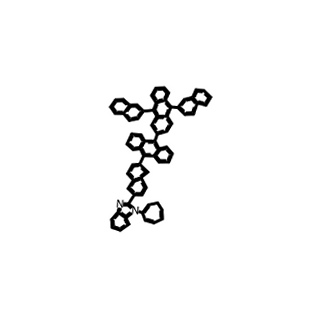 C1=CCC=C(n2c(-c3ccc4cc(-c5c6ccccc6c(-c6ccc7c(-c8ccc9ccccc9c8)c8ccccc8c(-c8ccc9ccccc9c8)c7c6)c6ccccc56)ccc4c3)nc3ccccc32)C=C1